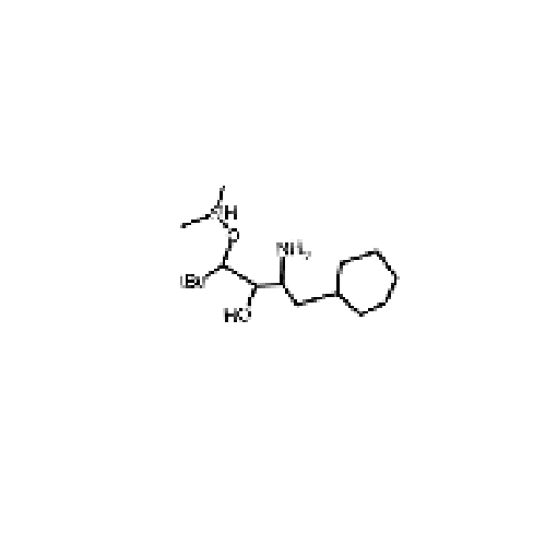 C[SiH](C)OC(C(O)C(N)CC1CCCCC1)C(C)(C)C